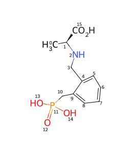 C[C@H](NCc1ccccc1CP(=O)(O)O)C(=O)O